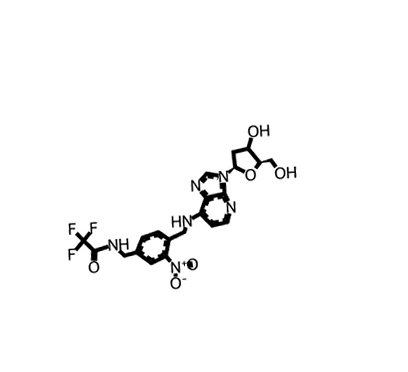 O=C(NCc1ccc(CNc2ccnc3c2ncn3[C@H]2CC(O)[C@@H](CO)O2)c([N+](=O)[O-])c1)C(F)(F)F